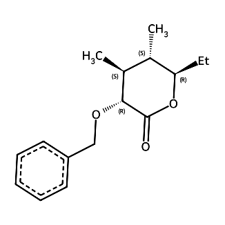 CC[C@H]1OC(=O)[C@H](OCc2ccccc2)[C@@H](C)[C@@H]1C